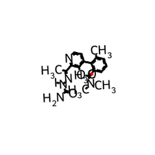 CC(=NN(I)C(N)=O)c1nccc(-c2c(C)cccc2C)c1OC(=O)N(C)C